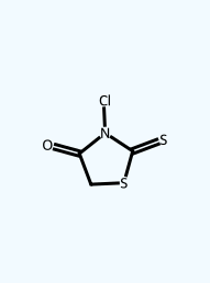 O=C1CSC(=S)N1Cl